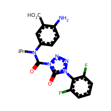 CC(C)N(C(=O)n1nnn(-c2c(F)cccc2F)c1=O)c1ccc(N)c(C(=O)O)c1